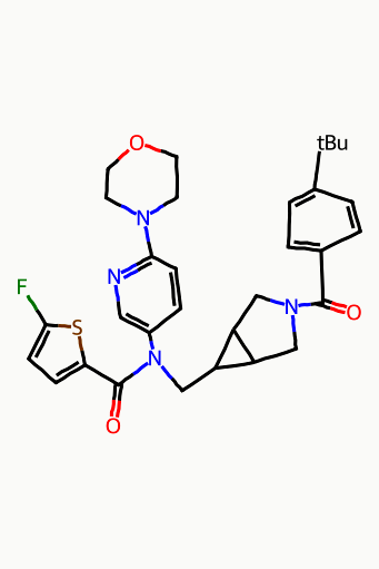 CC(C)(C)c1ccc(C(=O)N2CC3C(C2)C3CN(C(=O)c2ccc(F)s2)c2ccc(N3CCOCC3)nc2)cc1